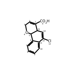 O=C(O)C1=CCOC2c3ccccc3C(Cl)=CC12